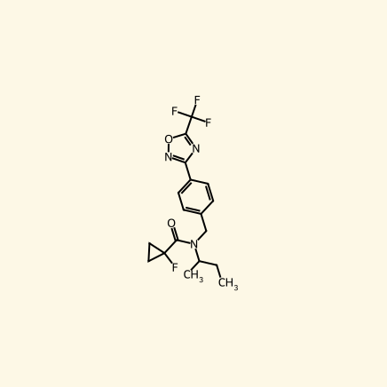 CCC(C)N(Cc1ccc(-c2noc(C(F)(F)F)n2)cc1)C(=O)C1(F)CC1